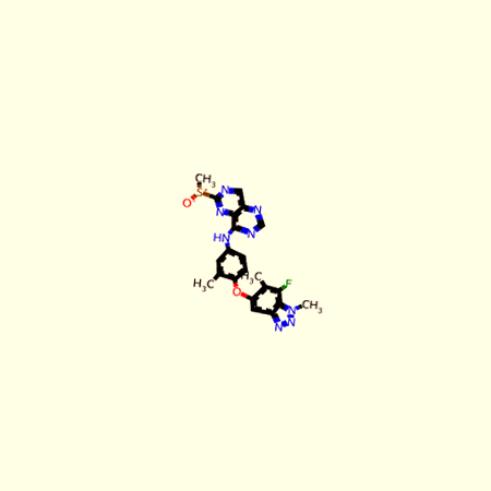 Cc1cc(Nc2ncnc3cnc([S+](C)[O-])nc23)ccc1Oc1cc2nnn(C)c2c(F)c1C